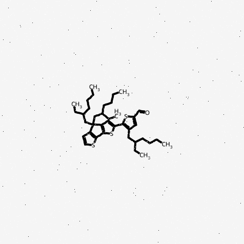 CCCCC(CC)Cc1cc(C=O)sc1-c1cc2c(s1)-c1sccc1C2(CC(CC)CCCC)CC(CC)CCCC